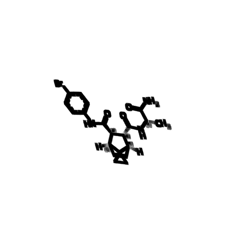 C[C@H](NC(=O)[C@H]1[C@H](C(=O)Nc2ccc(Br)cc2)[C@@H]2C=C[C@H]1C21CC1)C(N)=O